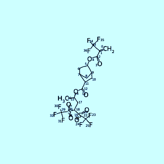 C=C(C(=O)OC1CC2CC1CC2C(=O)OC(C)CC(S(=O)(=O)C(F)(F)F)S(=O)(=O)C(F)(F)F)C(F)(F)F